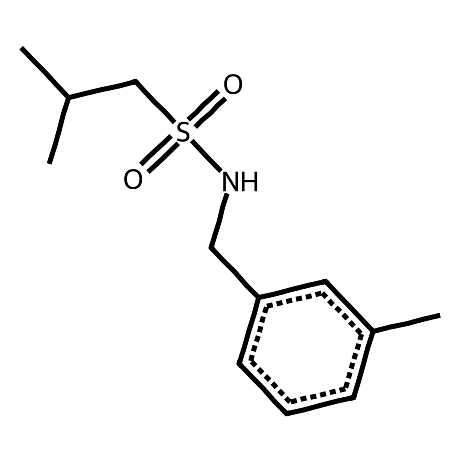 Cc1cccc(CNS(=O)(=O)CC(C)C)c1